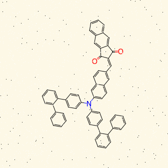 O=C1C(=Cc2ccc3cc(N(c4ccc(-c5ccccc5-c5ccccc5)cc4)c4ccc(-c5ccccc5-c5ccccc5)cc4)ccc3c2)C(=O)c2cc3ccccc3cc21